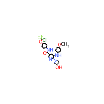 COc1ccc(Nc2cc(C(=O)Nc3ccc(OC(F)(F)Cl)cc3)cnc2N2CCC(O)C2)cc1